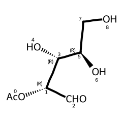 CC(=O)O[C@@H](C=O)[C@H](O)[C@H](O)CO